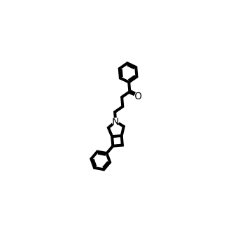 O=C(CCCN1CC2CC(c3ccccc3)C2C1)c1ccccc1